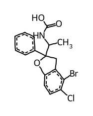 CC(NC(=O)O)C1(c2ccccc2)Cc2c(ccc(Cl)c2Br)O1